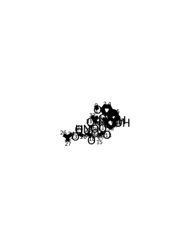 COc1ccc2c3c1O[C@H]1C(OC(=O)[C@H](C)OC(=O)[C@H](CC(=O)OCC(C)C)NC(=O)OC(C)(C)C)=CC[C@@]4(O)[C@H](CCC[C@]314)C2